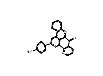 Cc1ccc(-c2cc3c4c(nc5ccccc53)C(=O)c3cccnc3-c4n2)cc1